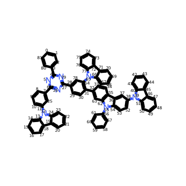 c1ccc(-c2nc(-c3cccc(-n4c5ccccc5c5ccccc54)c3)nc(-c3ccc(-c4ccc5c6cc(-n7c8ccccc8c8ccccc87)ccc6n(-c6ccccc6)c5c4)c(-n4c5ccccc5c5ccccc54)c3)n2)cc1